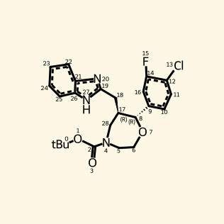 CC(C)(C)OC(=O)N1CCO[C@@H](c2ccc(Cl)c(F)c2)[C@H](Cc2nc3ccccc3[nH]2)C1